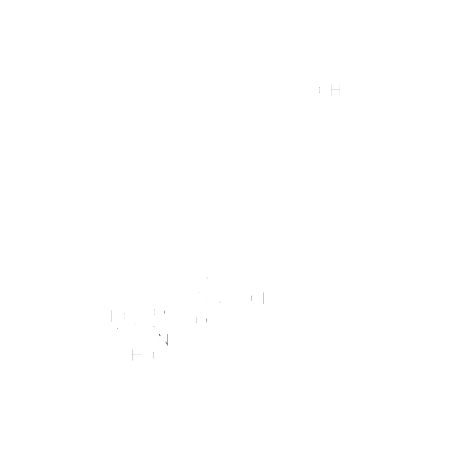 C=CC(=O)N(C)CCOc1ccc(C2CCC(C3CCC(C4CCC(CCCCC)CC4)CC3)CC2)c(CC)c1